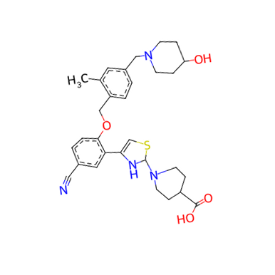 Cc1cc(CN2CCC(O)CC2)ccc1COc1ccc(C#N)cc1C1=CSC(N2CCC(C(=O)O)CC2)N1